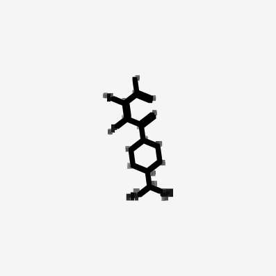 C=C(C)/C(F)=C(/F)C(=C)C1CCC(C(O)CCC)CC1